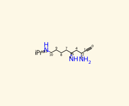 C#CC(N)CC(=N)CCCCNC(C)C